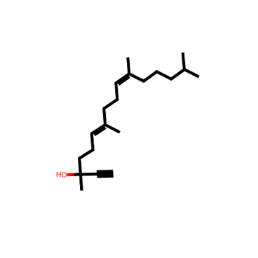 C#CC(C)(O)CC/C=C(\C)CC/C=C(/C)CCCC(C)C